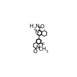 CN1C(=O)CCc2cc(-c3cnc(C(N)=O)c4c3CCC[CH]4)cc(F)c21